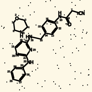 C1COCCN1.N#CCC(=O)Nc1ccc(CNc2ccnc(Nc3ccccc3)n2)cc1